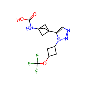 O=C(O)NC12CC(c3cnnn3C3CC(OC(F)(F)F)C3)(C1)C2